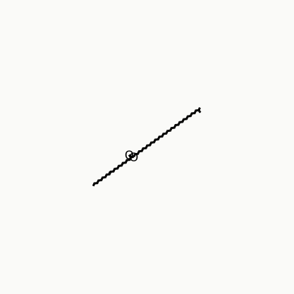 CCCCCCCCC=CCCCCCCCCCC(=O)OCCCCCCCCCCCCCCCCCCCCCCCCCCCCCCCC(C)C